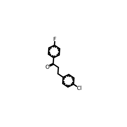 O=C(CCc1ccc(Cl)cc1)c1ccc(F)cc1